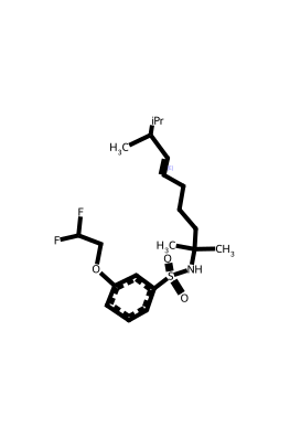 CC(C)C(C)/C=C/CCCC(C)(C)NS(=O)(=O)c1cccc(OCC(F)F)c1